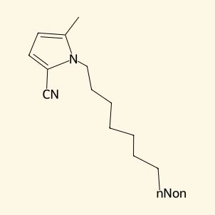 CCCCCCCCCCCCCCCCn1c(C)ccc1C#N